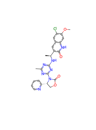 COc1cc2[nH]c(=O)c([C@H](C)Nc3nc(C)nc(N4C(=O)OC[C@@H]4c4ccccn4)n3)cc2cc1Cl